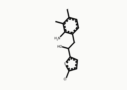 [CH2]c1ccc([CH]C(O)c2ccc(Cl)s2)c(N)c1C